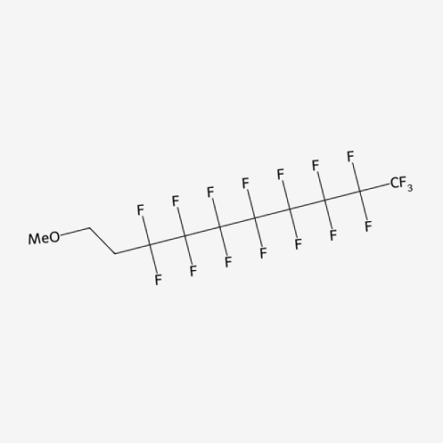 [CH2]OCCC(F)(F)C(F)(F)C(F)(F)C(F)(F)C(F)(F)C(F)(F)C(F)(F)C(F)(F)F